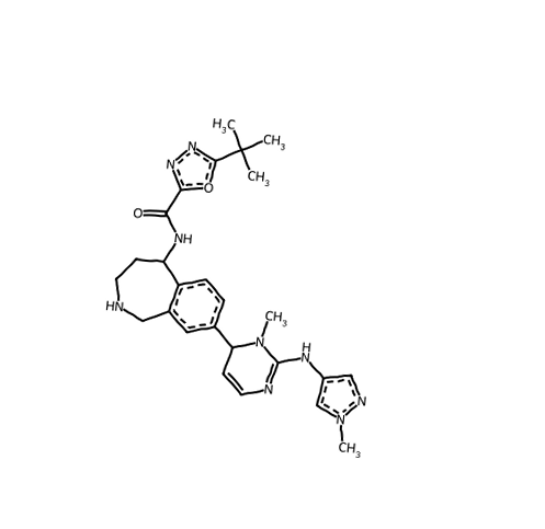 CN1C(Nc2cnn(C)c2)=NC=CC1c1ccc2c(c1)CNCCC2NC(=O)c1nnc(C(C)(C)C)o1